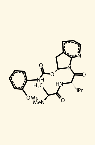 CN[C@@H](C)C(=O)N[C@H](C(=O)N1c2ncccc2C[C@H]1OC(=O)Nc1ccccc1OC)C(C)C